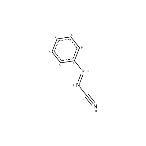 N#CN=Pc1ccccc1